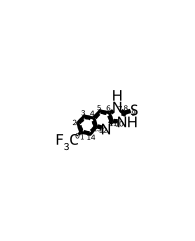 FC(F)(F)c1ccc2cc3[nH]c(=S)[nH]c3nc2c1